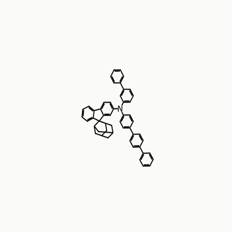 c1ccc(-c2ccc(-c3ccc(N(c4cccc(-c5ccccc5)c4)c4ccc5c(c4)C4(c6ccccc6-5)C5CC6CC(C5)CC4C6)cc3)cc2)cc1